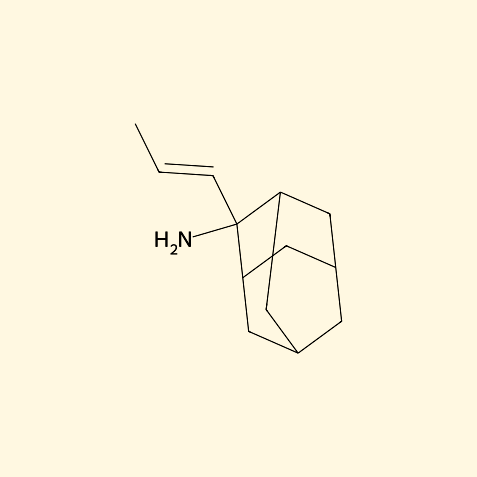 C/C=C/C1(N)C2CC3CC(C2)CC1C3